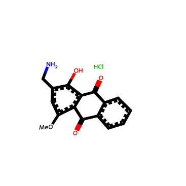 COc1cc(CN)c(O)c2c1C(=O)c1ccccc1C2=O.Cl